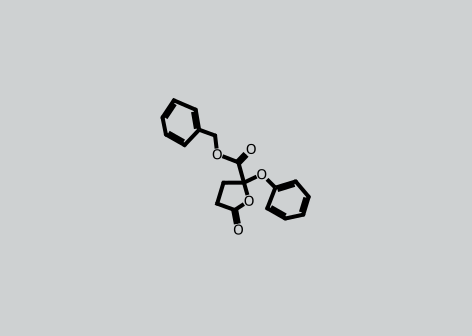 O=C1CCC(Oc2ccccc2)(C(=O)OCc2ccccc2)O1